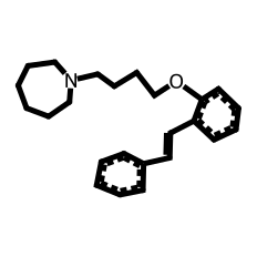 C(=C\c1ccccc1OCCCCN1CCCCCC1)/c1ccccc1